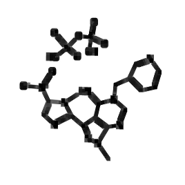 Cn1c([N+](=O)[O-])cnc1-c1nn(C)c2ncn(Cc3cccnc3)c(=N)c12.O=S(=O)(O)OS(=O)(=O)O